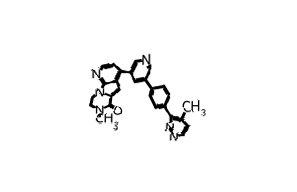 Cc1ccnnc1-c1ccc(-c2cncc(-c3ccnc4c3cc3n4CCN(C)C3=O)c2)cc1